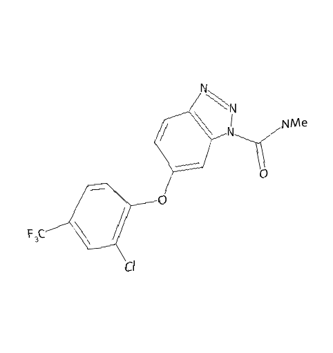 CNC(=O)n1nnc2ccc(Oc3ccc(C(F)(F)F)cc3Cl)cc21